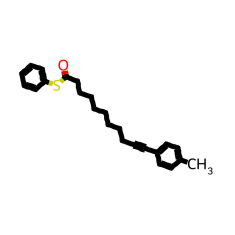 Cc1ccc(C#CCCCCCCCCC(=O)Sc2ccccc2)cc1